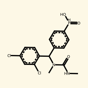 CNC(=O)N(C)C(c1ccc([PH](=O)O)cc1)c1ccc(Cl)cc1Cl